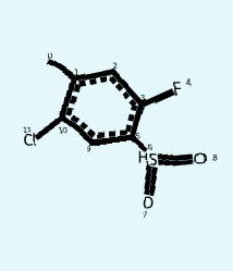 Cc1cc(F)c([SH](=O)=O)cc1Cl